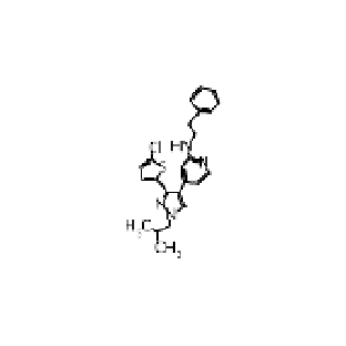 CC(C)Cn1cc(-c2ccnc(NCCc3ccccc3)c2)c(-c2ccc(Cl)s2)n1